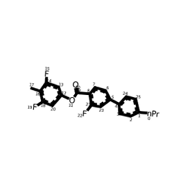 CCCc1ccc(-c2ccc(C(=O)Oc3cc(F)c(C)c(F)c3)c(F)c2)cc1